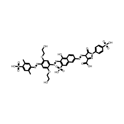 Cc1cc(S(=O)(=O)O)c(C)cc1/N=N/c1cc(OCCO)c(/N=N/c2c(S(=O)(=O)O)cc3cc(/N=N/C4C(=O)N(c5ccc(S(=O)(=O)O)cc5)N=C4C(=O)O)ccc3c2O)cc1OCCO